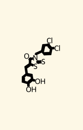 O=C1C(=Cc2ccc(O)c(O)c2)SC(=S)N1Cc1ccc(Cl)c(Cl)c1